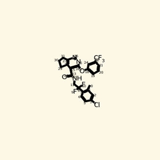 Cc1cc(Cl)ccc1C(F)(F)CNC(=O)c1c(Oc2cccc(C(F)(F)F)c2)nnc2c1CCC2